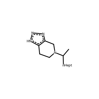 CCCCCCCC(C)N1CCc2[nH]nnc2C1